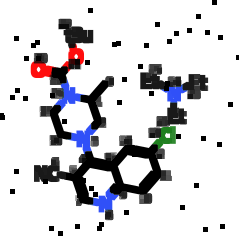 CC1CN(c2c(C#N)cnc3ccc(Cl)cc23)CCN1C(=O)OC(C)(C)C.CCN(CC)CC